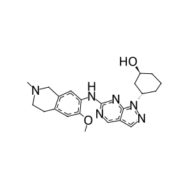 COc1cc2c(cc1Nc1ncc3cnn([C@H]4CCC[C@H](O)C4)c3n1)CN(C)CC2